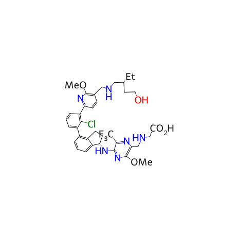 CC[C@H](CCO)CNCc1ccc(-c2cccc(-c3cccc4c3CC[C@@H]4Nc3nc(OC)c(CNCC(=O)O)nc3C(F)(F)F)c2Cl)nc1OC